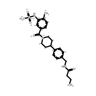 CCCC(=O)NCc1ccc(C2CCN(C(=O)c3ccc(C)c(NS(C)(=O)=O)c3)CC2)cc1